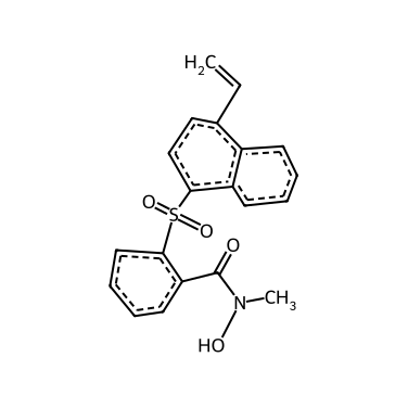 C=Cc1ccc(S(=O)(=O)c2ccccc2C(=O)N(C)O)c2ccccc12